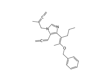 C=C=Cc1c(/C(CCC)=C(\C)OCc2ccccc2)ncn1CC(C)=C=C